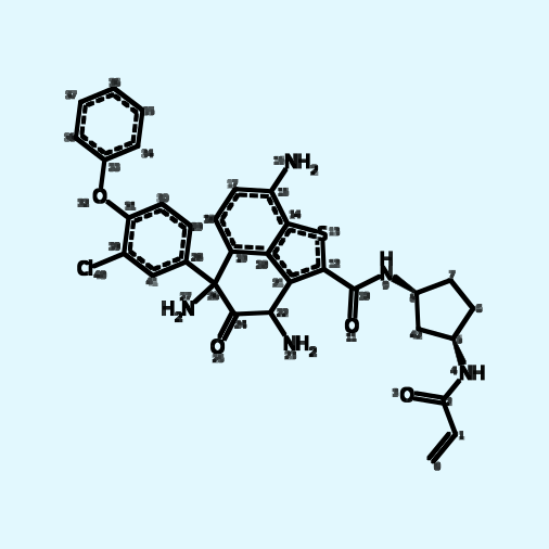 C=CC(=O)N[C@@H]1CC[C@H](NC(=O)c2sc3c(N)ccc4c3c2C(N)C(=O)C4(N)c2ccc(Oc3ccccc3)c(Cl)c2)C1